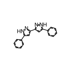 c1ccc(-c2cc(-c3cc(-c4ccccc4)[nH]n3)n[nH]2)cc1